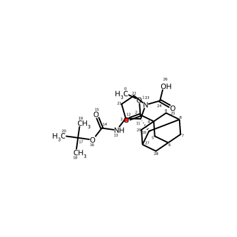 COC(=O)C12CC3CC(C1)C([C@@H]1C(NC(=O)OC(C)(C)C)CCN1C(=O)O)C(C3)C2